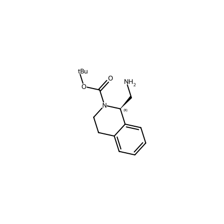 CC(C)(C)OC(=O)N1CCc2ccccc2[C@@H]1CN